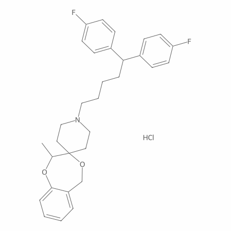 CC1Oc2ccccc2COC12CCN(CCCCC(c1ccc(F)cc1)c1ccc(F)cc1)CC2.Cl